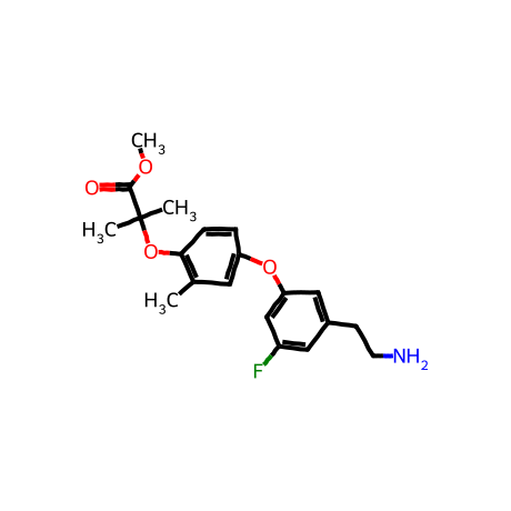 COC(=O)C(C)(C)Oc1ccc(Oc2cc(F)cc(CCN)c2)cc1C